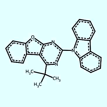 CC(C)(C)c1nc(-n2c3ccccc3c3ccccc32)nc2oc3ccccc3c12